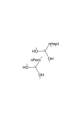 CCCCCC(O)O.CCCCCCCC(O)O